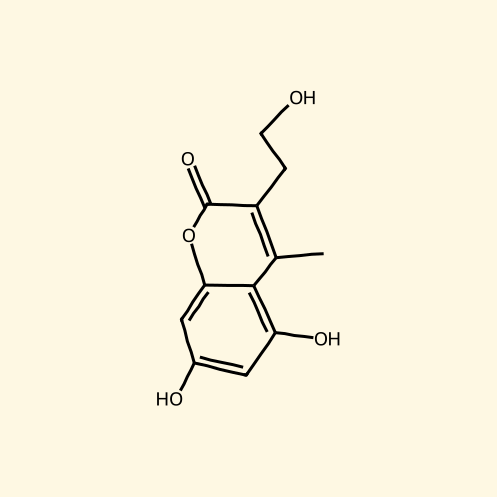 Cc1c(CCO)c(=O)oc2cc(O)cc(O)c12